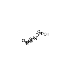 O=C([C@H]1CC[C@H](c2ncc(-c3cccc(Nc4cc(Cl)ccn4)n3)s2)CC1)N1CCC(O)CC1